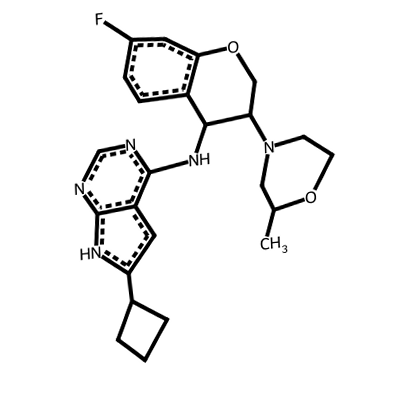 CC1CN(C2COc3cc(F)ccc3C2Nc2ncnc3[nH]c(C4CCC4)cc23)CCO1